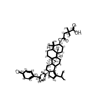 CC(C)C1=C2C3CC[C@@H]4[C@@]5(C)CC[C@H](OC(=O)CC(C)(C)C(=O)O)C(C)(C)[C@@H]5CC[C@@]4(C)[C@]3(C)CC[C@@]2(c2nnc(-c3ccc(Cl)cc3)s2)CC1